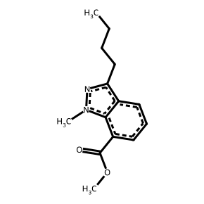 CCCCc1nn(C)c2c(C(=O)OC)cccc12